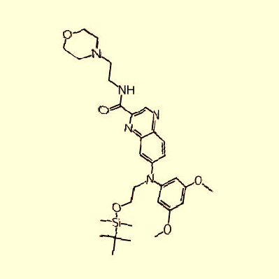 COc1cc(OC)cc(N(CCO[Si](C)(C)C(C)(C)C)c2ccc3ncc(C(=O)NCCN4CCOCC4)nc3c2)c1